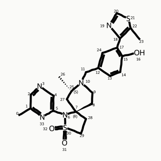 Cc1cncc(N2[C@@]3(CCN(Cc4ccc(O)c(-c5ncsc5C)c4)[C@@H](C)C3)CCS2(=O)=O)n1